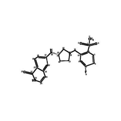 CS(=O)(=O)c1ccc(F)cc1CN1CC[C@H](Nc2ccc3c(=O)[nH]ccc3c2)C1